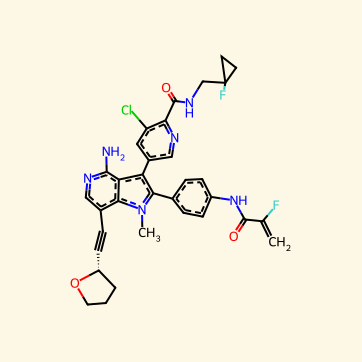 C=C(F)C(=O)Nc1ccc(-c2c(-c3cnc(C(=O)NCC4(F)CC4)c(Cl)c3)c3c(N)ncc(C#C[C@@H]4CCCO4)c3n2C)cc1